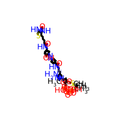 CC1N=C(N)C(/C=C/CNC(=O)c2ccc(/N=N/c3cc(CNC(=O)CCCCC4SCC5NC(=O)NC54)ccc3O)cc2)=CN1[C@H]1CC(OCSSC(C)(C)C)[C@@H](COP(=O)(O)OP(=O)(O)OP(=O)(O)O)O1